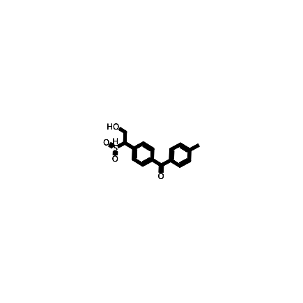 Cc1ccc(C(=O)c2ccc(C(CO)[SH](=O)=O)cc2)cc1